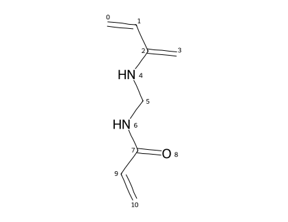 C=CC(=C)NCNC(=O)C=C